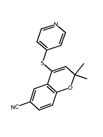 CC1(C)C=C(Sc2ccncc2)c2cc(C#N)ccc2O1